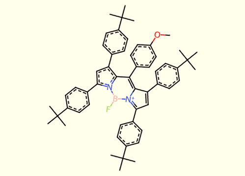 COc1ccc(C2=C3C(c4ccc(C(C)(C)C)cc4)=CC(c4ccc(C(C)(C)C)cc4)=[N+]3B(F)n3c(-c4ccc(C(C)(C)C)cc4)cc(-c4ccc(C(C)(C)C)cc4)c32)cc1